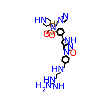 N=C(N)NCCCNCc1ccc(-n2cc3cc(-c4cccc([SH](=O)(C=O)N(CCn5ccnc5)C5CCNCC5)c4)[nH]c3nc2=O)cc1